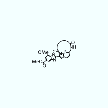 COC(=O)c1cc(OC)c2c(c1)nc(-c1cc3ccc4nc3n1CCCCCCCC(=O)NC4)n2C